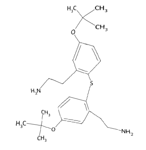 CC(C)(C)Oc1ccc(Sc2ccc(OC(C)(C)C)cc2CCN)c(CCN)c1